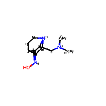 CCCN(CCC)CC1C(=NO)C2CCN1CC2